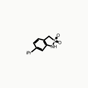 CC(C)c1ccc2c(c1)NS(=O)(=O)C2